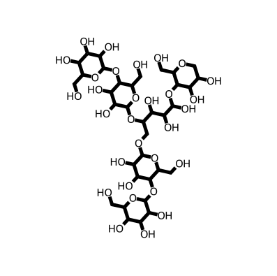 OCC1OC(OC2C(CO)OC(OCC(OC3OC(CO)C(OC4OC(CO)C(O)C(O)C4O)C(O)C3O)C(O)C(O)C(O)OC3C(CO)OCC(O)C3O)C(O)C2O)C(O)C(O)C1O